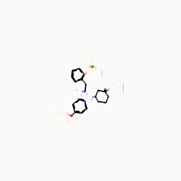 CC1(C)CCCC(n2c(Cc3ccccc3OC(F)(F)F)nc3cc(C(=O)O)ccc32)C1